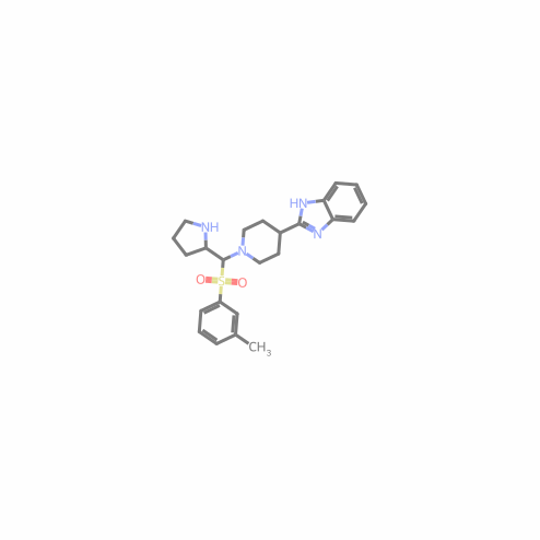 Cc1cccc(S(=O)(=O)C(C2CCCN2)N2CCC(c3nc4ccccc4[nH]3)CC2)c1